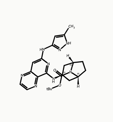 Cc1cc(Nc2cc3nccnc3c(N[C@@H]3C[C@H]4CC[C@@H](C3)N4C(=O)OC(C)(C)C)n2)n[nH]1